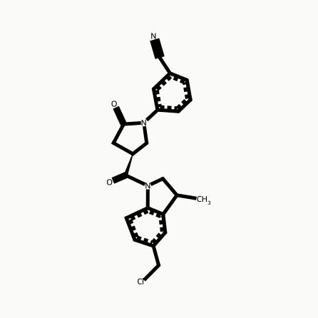 CC1CN(C(=O)[C@H]2CC(=O)N(c3cccc(C#N)c3)C2)c2ccc(CCl)cc21